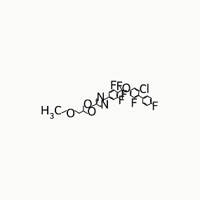 CCCOCCC1COC(c2cnc(-c3cc(F)c(C(F)(F)Oc4cc(F)c(-c5ccc(F)cc5)c(Cl)c4)c(F)c3)nc2)OC1